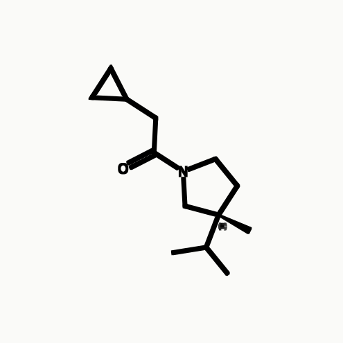 CC(C)[C@@]1(C)CCN(C(=O)CC2CC2)C1